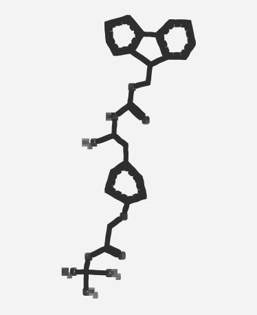 CC(Cc1ccc(OCC(=O)OC(C)(C)C)cc1)NC(=O)OCC1c2ccccc2-c2ccccc21